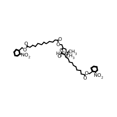 C[N+](C)(C)CC(COC(=O)CCCCCCCCCCC(=O)OCc1ccccc1[N+](=O)[O-])OC(=O)CCCCCCCCCCC(=O)OCc1ccccc1[N+](=O)[O-]